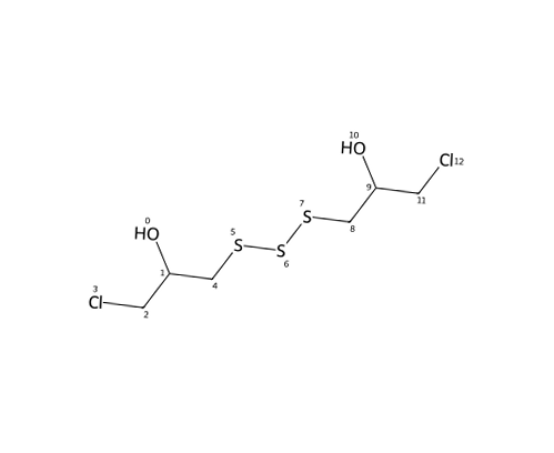 OC(CCl)CSSSCC(O)CCl